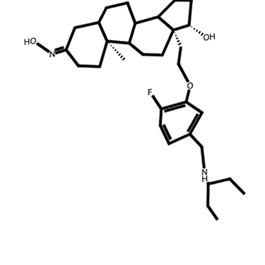 CCC(CC)NCc1ccc(F)c(OCC[C@]23CCC4C(CCC5C/C(=N\O)CC[C@@]54C)C2CC[C@@H]3O)c1